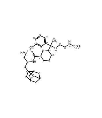 CNCC(CC12CC3CC(CC1C3)C2)NC(=O)N1CCCC(C(C)(OCCNC(=O)O)c2cccc(Cl)c2)C1